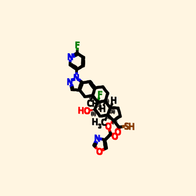 C[C@]12Cc3cnn(-c4ccc(F)nc4)c3C=C1CC[C@H]1[C@@H]3CC[C@](OC(=O)c4cocn4)(C(=O)S)[C@@]3(C)C[C@H](O)[C@@]12F